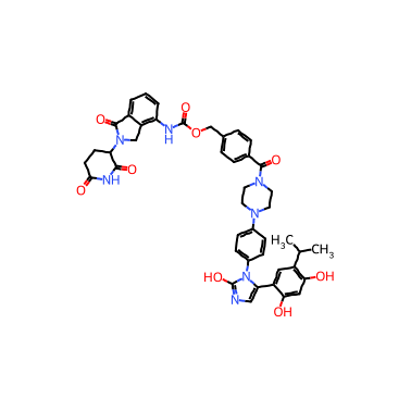 CC(C)c1cc(-c2cnc(O)n2-c2ccc(N3CCN(C(=O)c4ccc(COC(=O)Nc5cccc6c5CN(C5CCC(=O)NC5=O)C6=O)cc4)CC3)cc2)c(O)cc1O